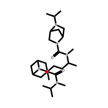 CC(C)N(C)C(=O)N1CC2CC(C1)N2C(C)CCC(C)N(C)C(=O)N1CC2CC1CN2C(C)C